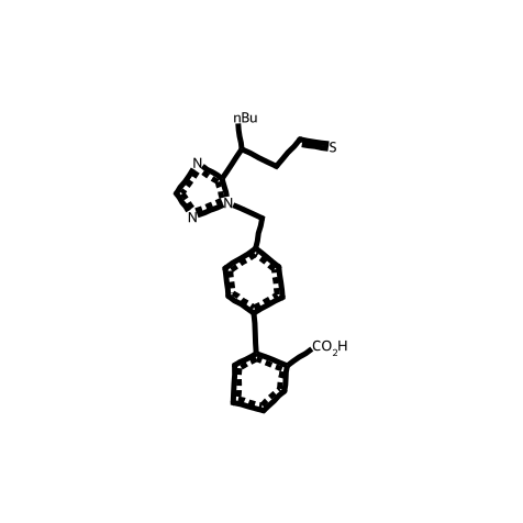 CCCCC(CC=S)c1ncnn1Cc1ccc(-c2ccccc2C(=O)O)cc1